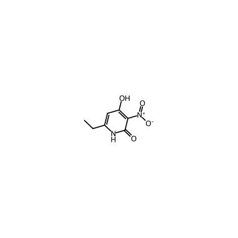 CCc1cc(O)c([N+](=O)[O-])c(=O)[nH]1